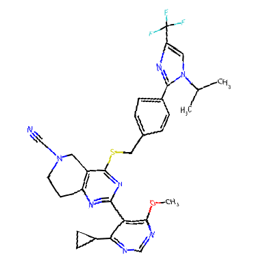 COc1ncnc(C2CC2)c1-c1nc2c(c(SCc3ccc(-c4nc(C(F)(F)F)cn4C(C)C)cc3)n1)CN(C#N)CC2